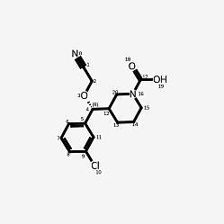 N#CCO[C@@H](c1cccc(Cl)c1)C1CCCN(C(=O)O)C1